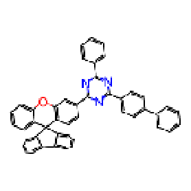 c1ccc(-c2ccc(-c3nc(-c4ccccc4)nc(-c4ccc5c(c4)Oc4ccccc4C54c5ccccc5-c5ccccc54)n3)cc2)cc1